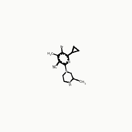 Cc1c(Br)c(C2CC2)nc(N2CCNC(C)C2)c1C#N